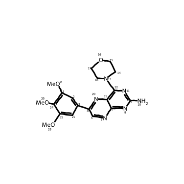 COc1cc(-c2cnc3nc(N)nc(N4CCOCC4)c3n2)cc(OC)c1OC